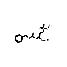 CCOC(=O)C(=CCP(C)(=O)OCC)NC(=O)OCc1ccccc1